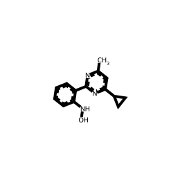 Cc1cc(C2CC2)nc(-c2ccccc2NO)n1